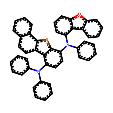 c1ccc(N(c2ccc(N(c3ccccc3)c3ccccc3)c3c2sc2c4ccccc4ccc23)c2cccc3oc4ccccc4c23)cc1